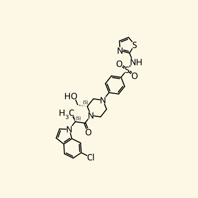 C[C@@H](C(=O)N1CCN(c2ccc(S(=O)(=O)Nc3nccs3)cc2)C[C@H]1CO)n1ccc2ccc(Cl)cc21